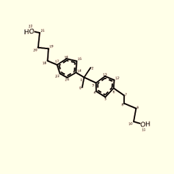 CC(C)(c1ccc(CCCCO)cc1)c1ccc(CCCCO)cc1